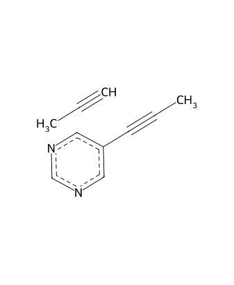 C#CC.CC#Cc1cncnc1